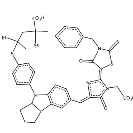 CCC(C)(CC(C)(CC)C(=O)O)Sc1ccc(N2c3ccc(/C=c4\s/c(=C5/SC(=S)N(Cc6ccccc6)C5=O)n(CC(=O)O)c4=O)cc3C3CCCC32)cc1